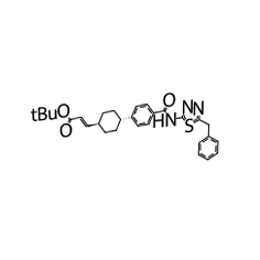 CC(C)(C)OC(=O)/C=C/[C@H]1CC[C@H](c2ccc(C(=O)Nc3nnc(Cc4ccccc4)s3)cc2)CC1